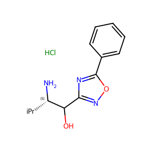 CC(C)[C@H](N)C(O)c1noc(-c2ccccc2)n1.Cl